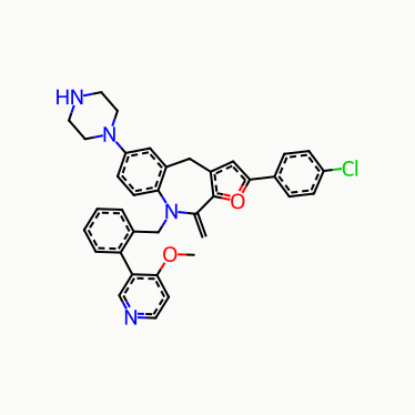 C=C1c2oc(-c3ccc(Cl)cc3)cc2Cc2cc(N3CCNCC3)ccc2N1Cc1ccccc1-c1cnccc1OC